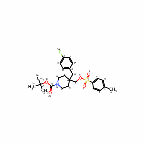 Cc1ccc(S(=O)(=O)OCC2(Cc3ccc(F)cc3)CCN(C(=O)OC(C)(C)C)CC2)cc1